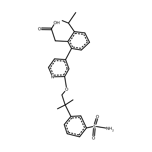 CC(C)c1cccc(-c2ccnc(OCC(C)(C)c3cccc(S(N)(=O)=O)c3)c2)c1CC(=O)O